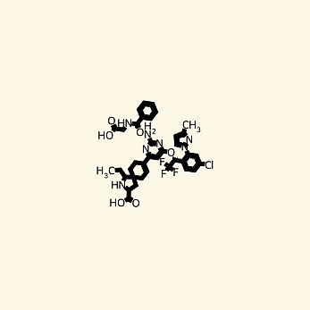 CCC1NC(C(=O)O)CC12CC=C(c1cc(O[C@H](c3ccc(Cl)cc3-n3ccc(C)n3)C(F)(F)F)nc(N)n1)CC2.O=C(O)CNC(=O)c1ccccc1